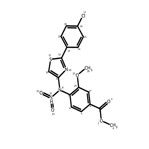 COC(=O)c1ccc(N(c2csc(-c3ccc(Cl)cc3)n2)[SH](=O)=O)c(OC)c1